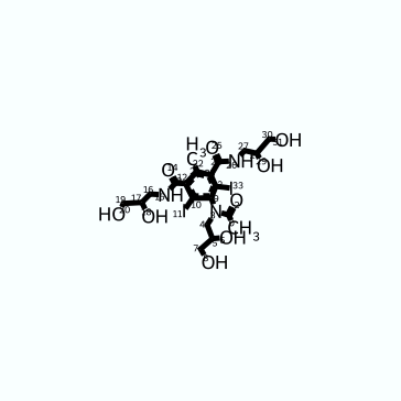 CC(=O)N(CC(O)CO)c1c(I)c(C(=O)NCC(O)CO)c(C)c(C(=O)NCC(O)CO)c1I